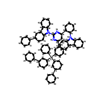 c1ccc(-c2cccc([Si](c3ccccc3)(c3cccc(-c4ccccc4)c3)c3cccc(-c4cc(-c5ccccc5-n5c6ccccc6c6ccccc65)nc(-n5c6ccccc6c6cc(-c7ccccc7)ccc65)n4)c3)c2)cc1